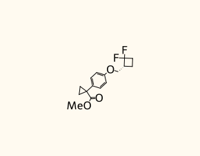 COC(=O)C1(c2ccc(OC[C@H]3CCC3(F)F)cc2)CC1